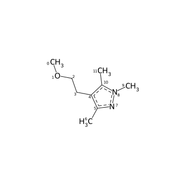 COCCc1c(C)nn(C)c1C